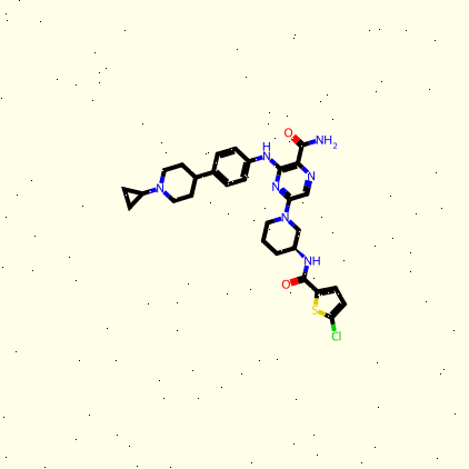 NC(=O)c1ncc(N2CCC[C@H](NC(=O)c3ccc(Cl)s3)C2)nc1Nc1ccc(C2CCN(C3CC3)CC2)cc1